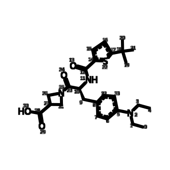 CCN(CC)c1ccc(C[C@H](NC(=O)c2ccc(C(C)(C)C)s2)C(=O)N2CC(C(=O)O)C2)cc1